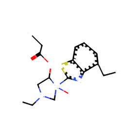 CCC(=O)OC1CN(CC)C[N+]1([O-])c1nc2c(CC)cccc2s1